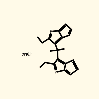 CCC1=PC2=CC=CC2=C1C(C)(C)C1=C2C=CC=C2P=C1CC.[Cl-].[Cl-].[Zr+2]